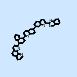 c1ccc2nc(-c3ccc4ccc(-c5ccc6nc(-c7ccc(-c8ccc9ccc%10cccnc%10c9n8)c8ccccc78)ccc6c5)cc4n3)ncc2c1